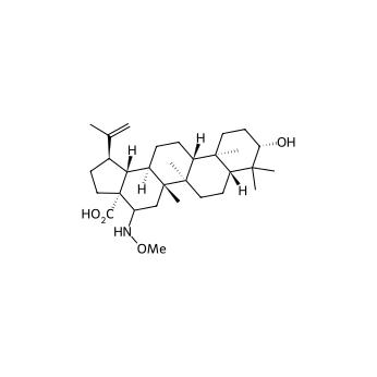 C=C(C)[C@@H]1CC[C@]2(C(=O)O)C(NOC)C[C@]3(C)[C@H](CC[C@@H]4[C@@]5(C)CC[C@H](O)C(C)(C)[C@@H]5CC[C@]43C)[C@@H]12